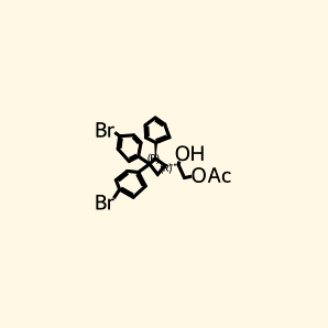 CC(=O)OCC(O)[C@@H]1CC(c2ccc(Br)cc2)(c2ccc(Br)cc2)[C@H]1c1ccccc1